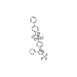 O=C(NS(=O)(=O)c1ccc(-n2nc(C(F)(F)F)cc2C2=CCCC=C2)cc1)c1ccc(-c2ccccc2)cc1